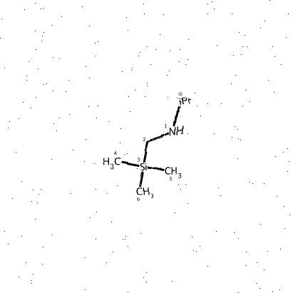 CC(C)NC[Si](C)(C)C